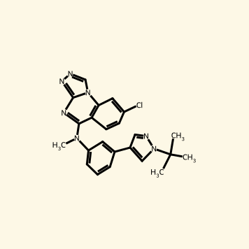 CN(c1cccc(-c2cnn(C(C)(C)C)c2)c1)c1nc2nncn2c2cc(Cl)ccc12